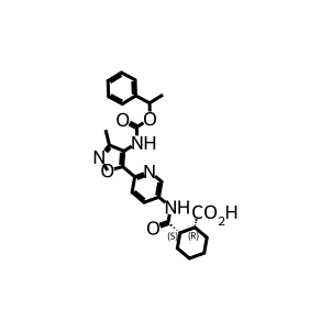 Cc1noc(-c2ccc(NC(=O)[C@H]3CCCC[C@H]3C(=O)O)cn2)c1NC(=O)OC(C)c1ccccc1